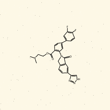 CN(C)CCOC(=O)c1ccc(-c2ccc(F)c(F)c2)cc1N1Cc2ccc(-c3c[nH]nn3)cc2C1=O